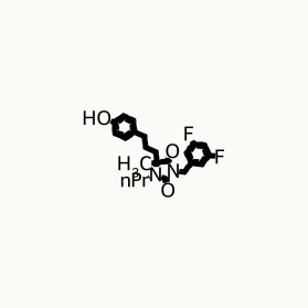 CCCN1C(=O)N(Cc2cc(F)cc(F)c2)C(=O)C1(C)CCCc1ccc(O)cc1